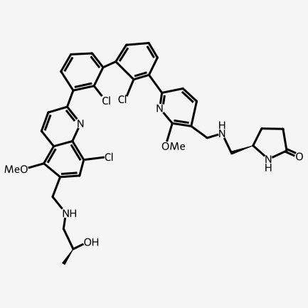 COc1nc(-c2cccc(-c3cccc(-c4ccc5c(OC)c(CNC[C@H](C)O)cc(Cl)c5n4)c3Cl)c2Cl)ccc1CNC[C@H]1CCC(=O)N1